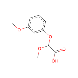 COc1cccc(OC(OC)C(=O)O)c1